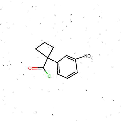 O=C(Cl)C1(c2cccc([N+](=O)[O-])c2)CCC1